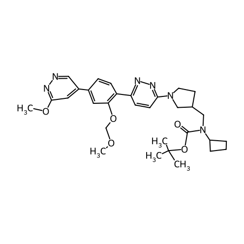 COCOc1cc(-c2cnnc(OC)c2)ccc1-c1ccc(N2CCC(CN(C(=O)OC(C)(C)C)C3CCC3)C2)nn1